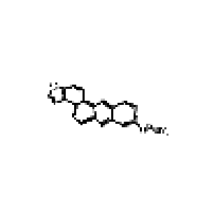 CCCCCc1ccc2cc3c(ccc4c5ccoc5ccc34)cc2c1